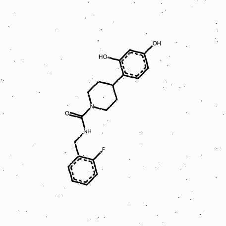 O=C(NCc1ccccc1F)N1CCC(c2ccc(O)cc2O)CC1